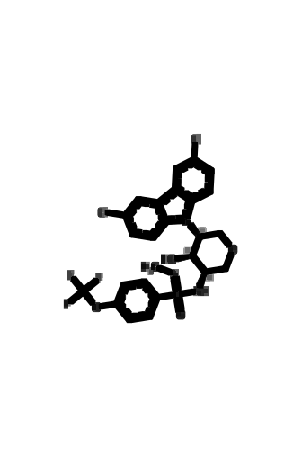 CN=S(=O)(N[C@@H]1COC[C@H](n2c3ccc(Cl)cc3c3cc(Cl)ccc32)[C@@H]1O)c1ccc(OC(F)(F)F)cc1